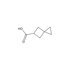 O=C(O)C1CC2(CC2)C1